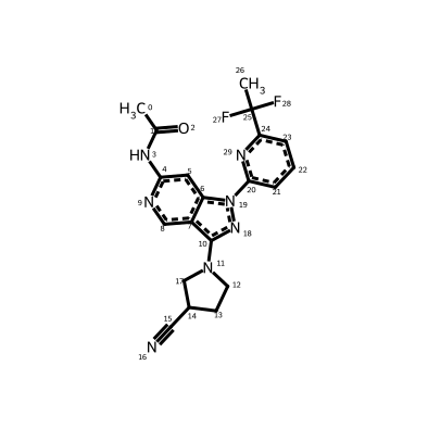 CC(=O)Nc1cc2c(cn1)c(N1CCC(C#N)C1)nn2-c1cccc(C(C)(F)F)n1